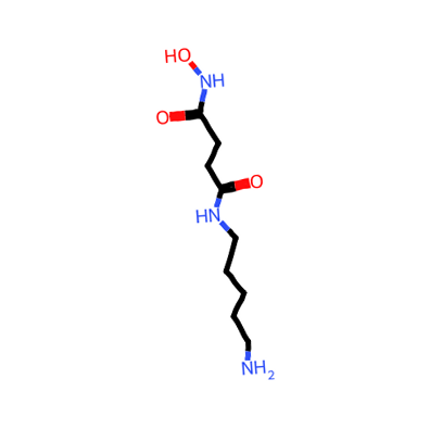 NCCCCCNC(=O)CCC(=O)NO